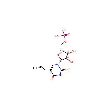 C=CCc1cn([C@@H]2O[C@H](COP(=O)(O)O)[C@@H](O)[C@H]2O)c(=O)[nH]c1=O